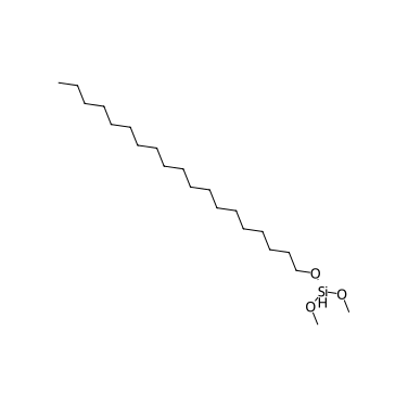 CCCCCCCCCCCCCCCCCCCO[SiH](OC)OC